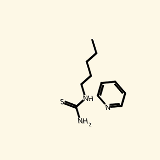 CCCCCNC(N)=S.c1ccncc1